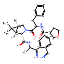 CC1(C)[C@@H]2[C@@H](C(=O)NC(C#N)c3nncc4ccccc34)N(C(=O)C(Cc3ccccc3)NC(=O)[C@@H]3CCOC3)C[C@@H]21